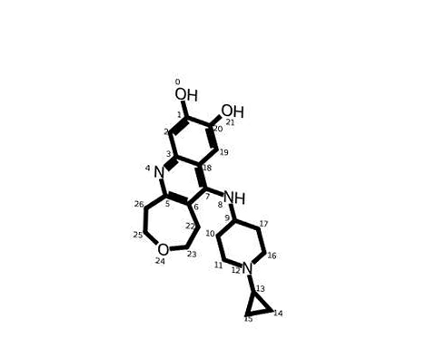 Oc1cc2nc3c(c(NC4CCN(C5CC5)CC4)c2cc1O)CCOCC3